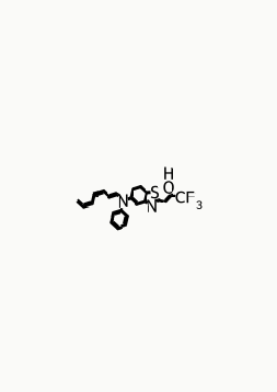 C\C=C/C=C\C=C\N(C1=CC2N=C(/C=C(\O)C(F)(F)F)SC2CC1)c1ccccc1